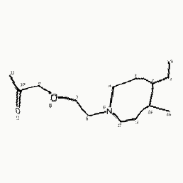 CCC1CCN(CCOCC(C)=O)CCC1C